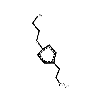 CC(C)CCSc1ccc(CCC(=O)O)cc1